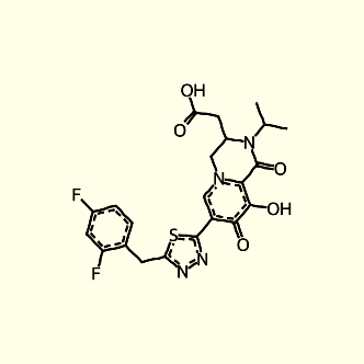 CC(C)N1C(=O)c2c(O)c(=O)c(-c3nnc(Cc4ccc(F)cc4F)s3)cn2CC1CC(=O)O